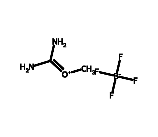 C[O+]=C(N)N.F[B-](F)(F)F